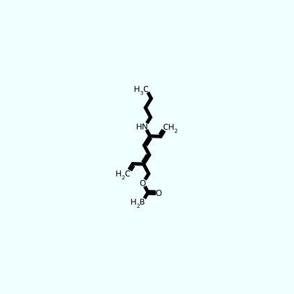 BC(=O)OC/C(C=C)=C/C=C(\C=C)NCCCC